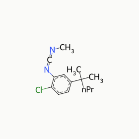 CCCC(C)(C)c1ccc(Cl)c(N=C=NC)c1